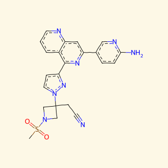 CS(=O)(=O)N1CC(CC#N)(n2ccc(-c3nc(-c4ccc(N)nc4)cc4ncccc34)n2)C1